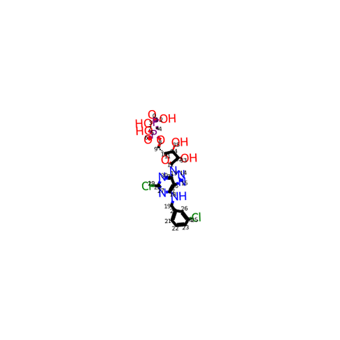 O=P(O)(O)CP(=O)(O)OC[C@H]1O[C@@H](n2nnc3c(NCc4cccc(Cl)c4)nc(Cl)nc32)[C@H](O)[C@@H]1O